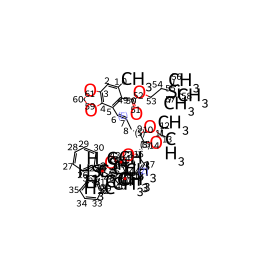 Cc1cc2c(c(/C=C/C[C@@H]3OC(C)(C)O[C@@H]3C(/C=C\[C@@H](C)[C@H](C)O[Si](c3ccccc3)(c3ccccc3)C(C)(C)C)O[Si](C)(C)C(C)(C)C)c1C(=O)OCC[Si](C)(C)C)OCO2